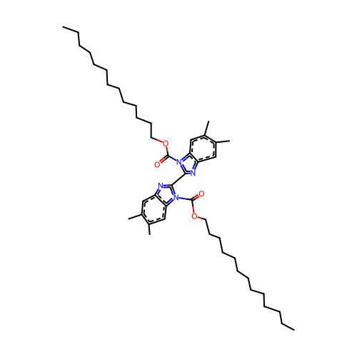 CCCCCCCCCCCCCOC(=O)n1c(-c2nc3cc(C)c(C)cc3n2C(=O)OCCCCCCCCCCCCC)nc2cc(C)c(C)cc21